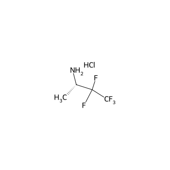 C[C@H](N)C(F)(F)C(F)(F)F.Cl